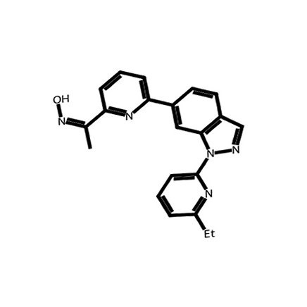 CCc1cccc(-n2ncc3ccc(-c4cccc(/C(C)=N\O)n4)cc32)n1